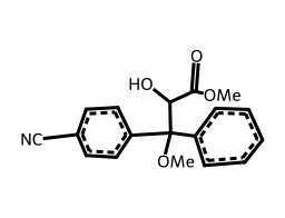 COC(=O)C(O)C(OC)(c1ccccc1)c1ccc(C#N)cc1